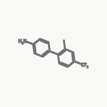 Cc1cc(C(F)(F)F)ccc1-c1ccc(N)cc1